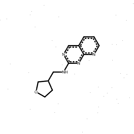 c1cnc2nc(NCC3CCOC3)ncc2c1